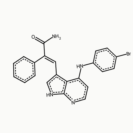 NC(=O)/C(=C/c1c[nH]c2nccc(Nc3ccc(Br)cc3)c12)c1ccccc1